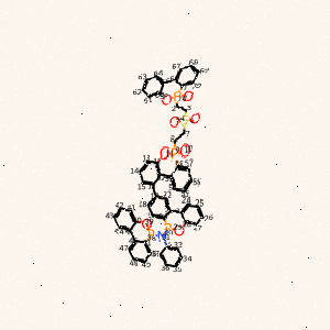 O=P1(CCS(=O)(=O)CCP2(=O)Oc3cccc(-c4ccc5c(c4)-c4ccccc4OP5N(c4ccccc4)P4Oc5ccccc5-c5ccccc54)c3-c3ccccc32)Oc2ccccc2-c2ccccc21